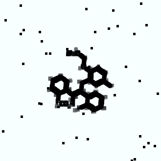 COCOc1ccc(C)cc1CC(=C(C(=O)O)c1ccccc1F)c1ccccc1F